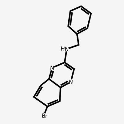 Brc1ccc2nc(NCc3ccccc3)cnc2c1